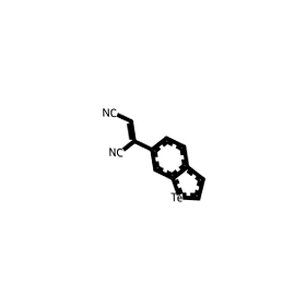 N#C/C=C(\C#N)c1ccc2cc[te]c2c1